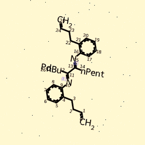 C=CCCc1ccccc1/N=C(CCCC)/C(CCCCC)=N/c1ccccc1CCC=C.[Pd]